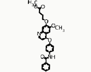 COC(=O)CCCOc1cc2nccc(Oc3ccc(NC(=O)c4ccccc4)cc3)c2cc1OC